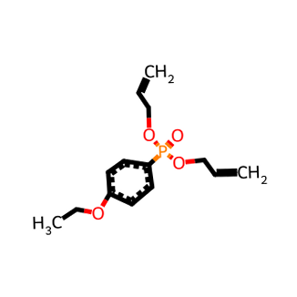 C=CCOP(=O)(OCC=C)c1ccc(OCC)cc1